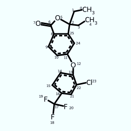 CCC1(CC)OC(=O)c2ccc(Oc3ccc(C(F)(F)F)cc3Cl)cc21